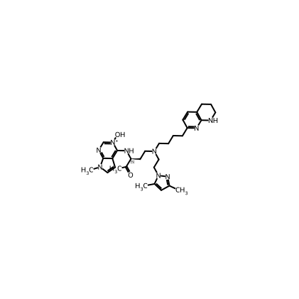 CC(=O)[C@H](CCN(CCCCc1ccc2c(n1)NCCC2)CCn1nc(C)cc1C)Nc1c2ccn(C)c2nc[n+]1O